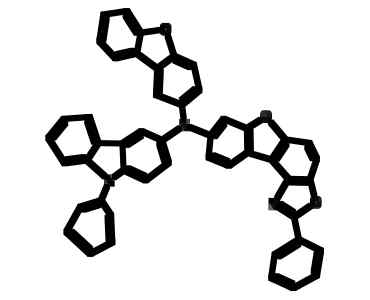 c1ccc(-c2nc3c(ccc4oc5cc(N(c6ccc7oc8ccccc8c7c6)c6ccc7c(c6)c6ccccc6n7-c6ccccc6)ccc5c43)o2)cc1